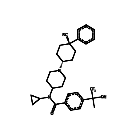 CC(O)(c1ccc(C(=O)N(C2CC2)C2CCN([C@H]3CC[C@@](C#N)(c4ccccc4)CC3)CC2)cc1)C(F)(F)F